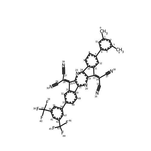 Cc1cc(C)cc(-c2ccc3c(c2)C(=C(C#N)C#N)c2nc4c(nc2-3)C(=C(C#N)C#N)c2cc(-c3cc(C(F)(F)F)cc(C(F)(F)F)c3)ccc2-4)c1